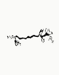 C=C(C)C(=O)NCCCCCCCCN(C)C